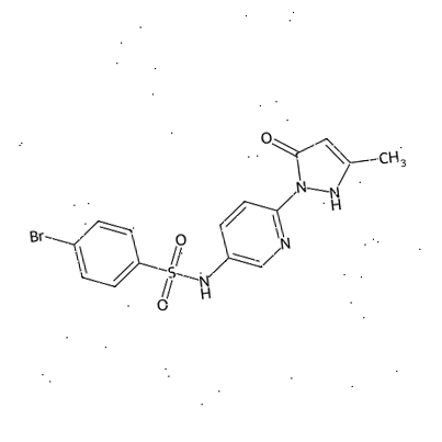 Cc1cc(=O)n(-c2ccc(NS(=O)(=O)c3ccc(Br)cc3)cn2)[nH]1